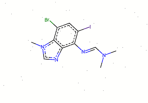 CN(C)/C=N/c1c(I)cc(Br)c2c1ncn2C